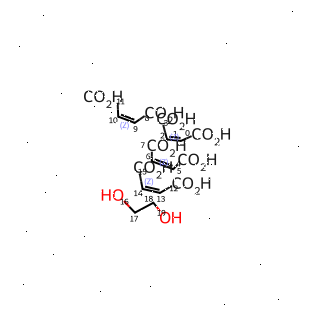 O=C(O)/C=C\C(=O)O.O=C(O)/C=C\C(=O)O.O=C(O)/C=C\C(=O)O.O=C(O)/C=C\C(=O)O.OCCO